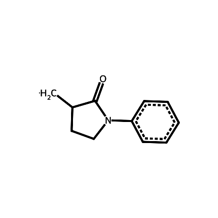 [CH2]C1CCN(c2ccccc2)C1=O